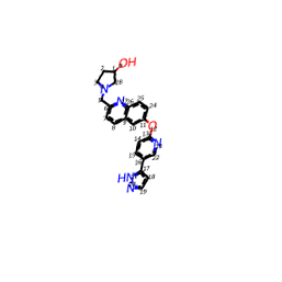 OC1CCN(Cc2ccc3cc(Oc4ccc(-c5ccn[nH]5)cn4)ccc3n2)C1